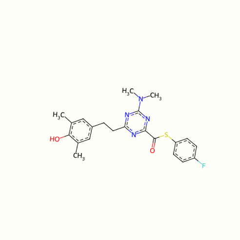 Cc1cc(CCc2nc(C(=O)Sc3ccc(F)cc3)nc(N(C)C)n2)cc(C)c1O